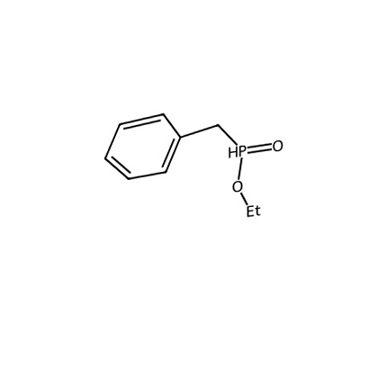 CCO[PH](=O)Cc1ccccc1